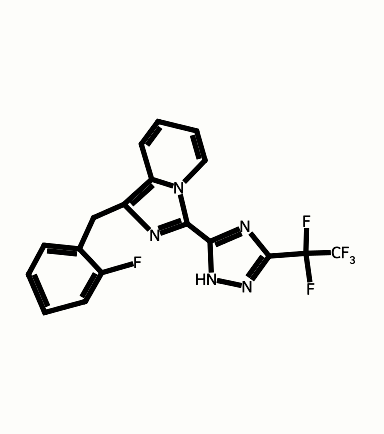 Fc1ccccc1Cc1nc(-c2nc(C(F)(F)C(F)(F)F)n[nH]2)n2ccccc12